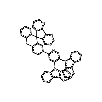 c1ccc2c(c1)Sc1ccc(-c3cc(-n4c5ccccc5c5ccccc54)c(-n4c5ccccc5c5ccccc54)cn3)cc1C21c2cccnc2-c2ncccc21